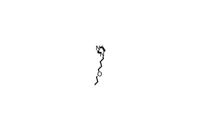 CCCOCCCCn1c[c]nc1